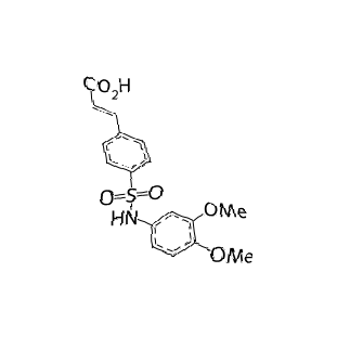 COc1ccc(NS(=O)(=O)c2ccc(/C=C/C(=O)O)cc2)cc1OC